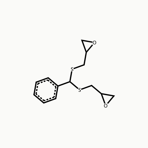 c1ccc(C(SCC2CO2)SCC2CO2)cc1